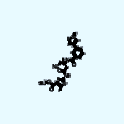 Cc1nc(NC(=O)C[C@@H](CC#N)NC(=O)c2cccc(-c3cnn(C)c3)c2)sc1C(=O)OC(C)(C)C